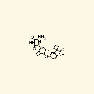 Cc1cc(-n2nc(N)c(=O)[nH]c2=O)c2c(c1Oc1ccc3c(c1)C1(CCC1)C(=O)N3)CC2